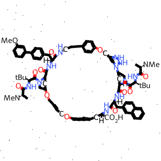 CN[C@@H](C)C(=O)N[C@H](C(=O)N1CC2CC1C(=O)N[C@@H](Cc1ccc(-c3cccc(OC)c3)cc1)C(=O)NCCc1ccc(cc1)OCC1=CN(NN1)C1C[C@@H](C(=O)N[C@@H](Cc3ccc4ccccc4c3)C(=O)N[C@H](C(=O)O)Cc3ccc(cc3)OC/C=C/CO2)N(C(=O)[C@@H](NC(=O)[C@H](C)NC)C(C)(C)C)C1)C(C)(C)C